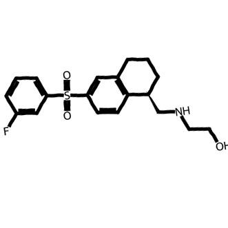 O=S(=O)(c1cccc(F)c1)c1ccc2c(c1)CCC[C@H]2CNCCO